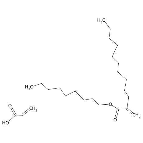 C=C(CCCCCCCCCC)C(=O)OCCCCCCCCC.C=CC(=O)O